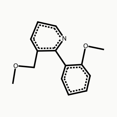 COCc1cccnc1-c1ccccc1OC